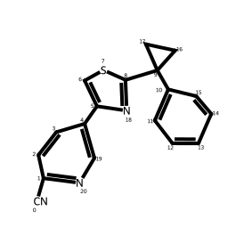 N#Cc1ccc(-c2csc(C3(c4ccccc4)CC3)n2)cn1